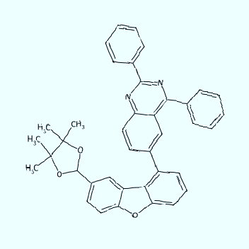 CC1(C)OC(c2ccc3oc4cccc(-c5ccc6nc(-c7ccccc7)nc(-c7ccccc7)c6c5)c4c3c2)OC1(C)C